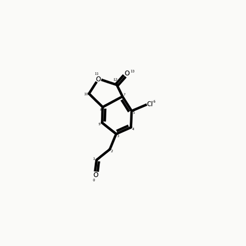 O=CCc1cc(Cl)c2c(c1)COC2=O